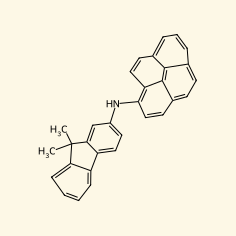 CC1(C)c2ccccc2-c2ccc(Nc3ccc4ccc5cccc6ccc3c4c56)cc21